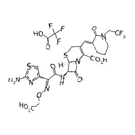 Nc1nc(C(=NOCC(=O)O)C(=O)N[C@@H]2C(=O)N3C(C(=O)O)=C(C=C4CCCN(CC(F)(F)F)C4=O)CS[C@H]23)cs1.O=C(O)C(F)(F)F